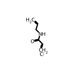 C=CCNC(=O)C=C.[C]